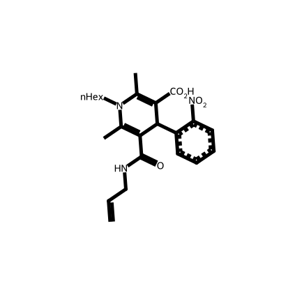 C=CCNC(=O)C1=C(C)N(CCCCCC)C(C)=C(C(=O)O)C1c1ccccc1[N+](=O)[O-]